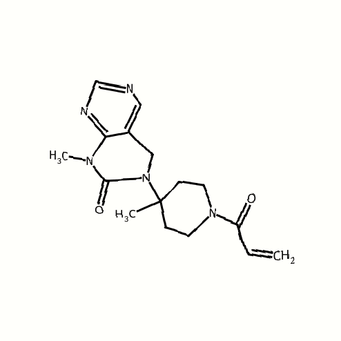 C=CC(=O)N1CCC(C)(N2Cc3cncnc3N(C)C2=O)CC1